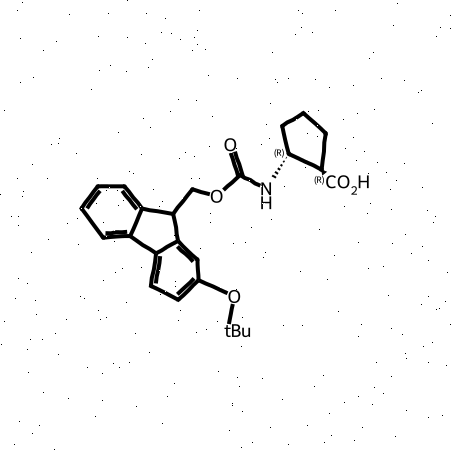 CC(C)(C)Oc1ccc2c(c1)C(COC(=O)N[C@@H]1CCC[C@H]1C(=O)O)c1ccccc1-2